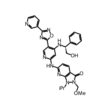 COCn1c(=O)c2ccc(Nc3cc(N[C@H](CO)c4ccccc4)c(-c4nc(-c5cccnc5)no4)cn3)nc2n1C(C)C